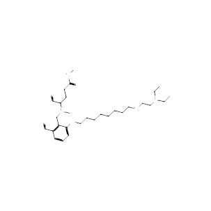 CCN(CC)CCNCCCCCCCCSc1cccc(C=O)c1CN(C)C(C=O)CCC(=O)NC